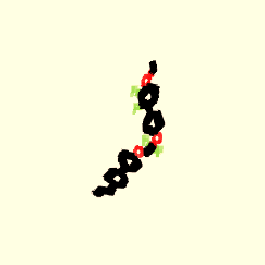 CCCC1CCC(c2ccc(OCC(F)(F)Oc3ccc(-c4ccc(OCC)c(F)c4F)cc3)cc2)CC1